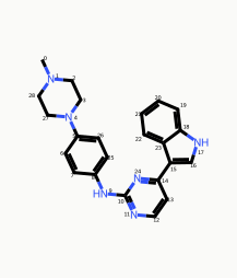 CN1CCN(c2ccc(Nc3nccc(-c4c[nH]c5ccccc45)n3)cc2)CC1